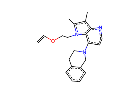 C=COCCn1c(C)c(C)c2nccc(N3CCc4ccccc4C3)c21